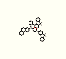 CC1(C)c2ccccc2-c2cc(-c3ccc(N(c4ccc5c(ccc6ccccc65)c4)c4ccccc4-c4cccc5c4-c4ccccc4C5(C)C)cc3)ccc21